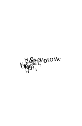 COCCOCCOCC[N+](C)(C)CCC(C)(C)NCl